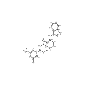 CCc1cc(C)nc(N2CCC3(CC2)OCCN(Cc2c[nH]c4ccccc24)C3=O)n1